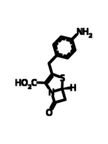 Nc1ccc(CC2=C(C(=O)O)N3C(=O)C[C@H]3S2)cc1